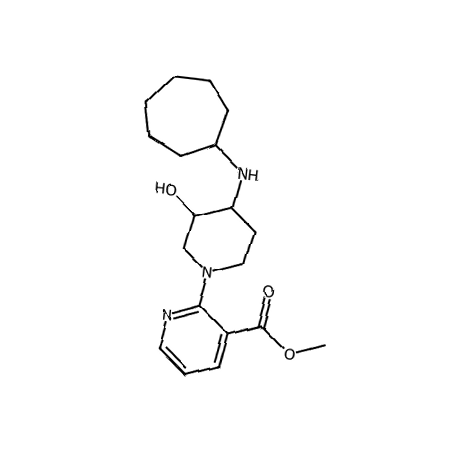 COC(=O)c1cccnc1N1CCC(NC2CCCCCC2)C(O)C1